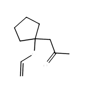 C=COC1(CC(C)=O)CCCC1